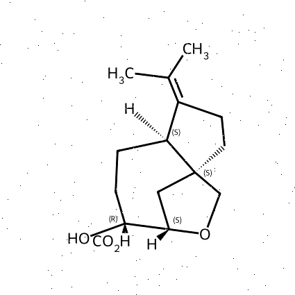 CC(C)=C1CC[C@]23CO[C@@H](C2)[C@@](O)(C(=O)O)CC[C@@H]13